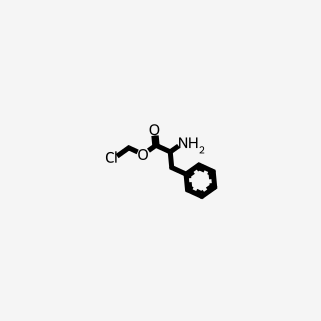 NC(Cc1ccccc1)C(=O)OCCl